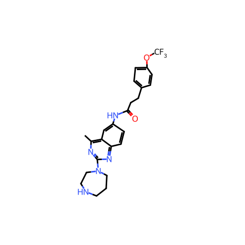 Cc1nc(N2CCCNCC2)nc2ccc(NC(=O)CCc3ccc(OC(F)(F)F)cc3)cc12